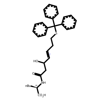 CCCC[C@@H](NC(=O)CC(O)/C=C/CCSC(c1ccccc1)(c1ccccc1)c1ccccc1)C(=O)O